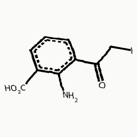 Nc1c(C(=O)O)cccc1C(=O)CI